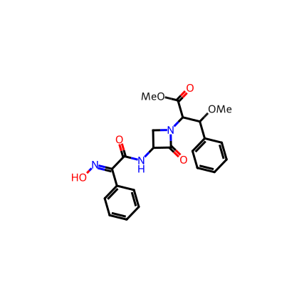 COC(=O)C(C(OC)c1ccccc1)N1CC(NC(=O)/C(=N/O)c2ccccc2)C1=O